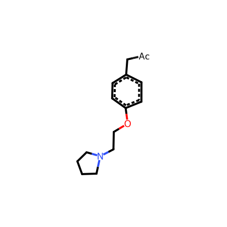 CC(=O)Cc1ccc(OCCN2CCCC2)cc1